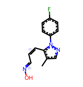 Cc1cnn(-c2ccc(F)cc2)c1/C=C\C=N\O